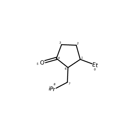 CCC1CCC(=O)C1CC(C)C